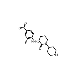 O=C1[C@@H](Nc2ccc(I(=O)=O)cc2F)CCCN1C1CCNCC1